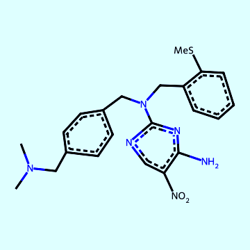 CSc1ccccc1CN(Cc1ccc(CN(C)C)cc1)c1ncc([N+](=O)[O-])c(N)n1